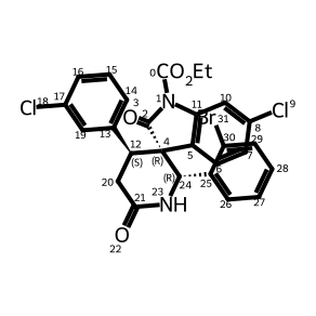 CCOC(=O)N1C(=O)[C@@]2(c3ccc(Cl)cc31)[C@H](c1cccc(Cl)c1)CC(=O)N[C@H]2c1ccccc1Br